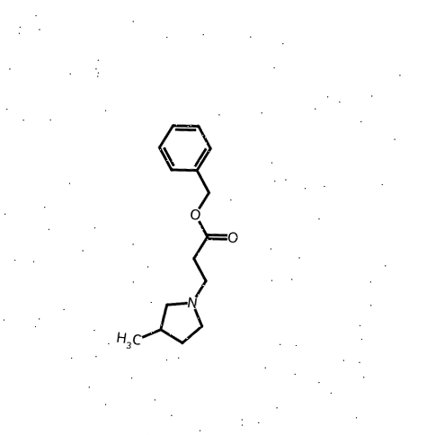 CC1CCN(CCC(=O)OCc2ccccc2)C1